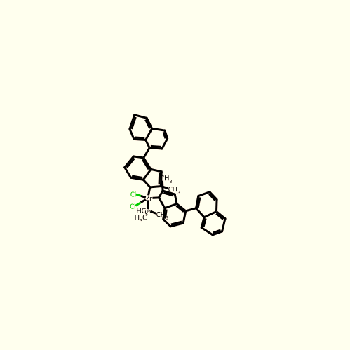 CC1=Cc2c(-c3cccc4ccccc34)cccc2[CH]1[Zr]([Cl])([Cl])([CH]1C(C)=Cc2c(-c3cccc4ccccc34)cccc21)[GeH]([CH3])[CH3]